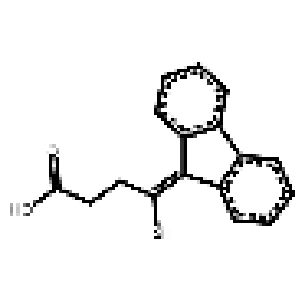 O=C(O)CCC(S)=C1c2ccccc2-c2ccccc21